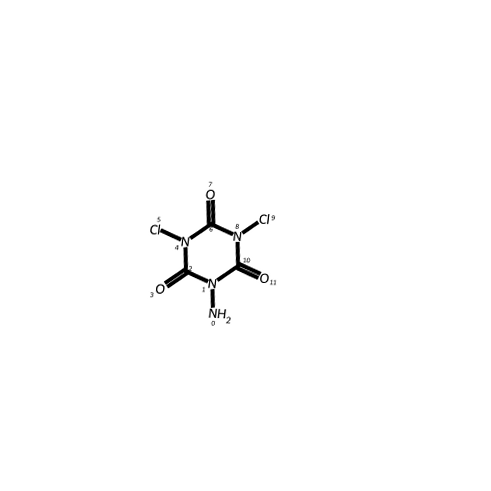 Nn1c(=O)n(Cl)c(=O)n(Cl)c1=O